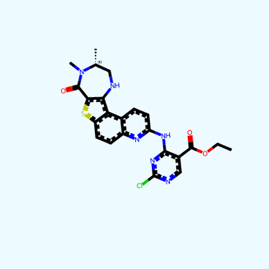 CCOC(=O)c1cnc(Cl)nc1Nc1ccc2c(ccc3sc4c(c32)NC[C@@H](C)N(C)C4=O)n1